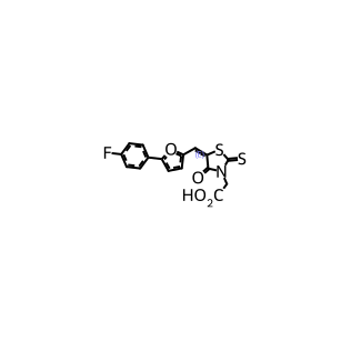 O=C(O)CN1C(=O)/C(=C\c2ccc(-c3ccc(F)cc3)o2)SC1=S